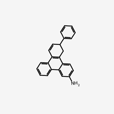 Nc1ccc2c3c(c4ccccc4c2c1)C=CC(c1ccccc1)C3